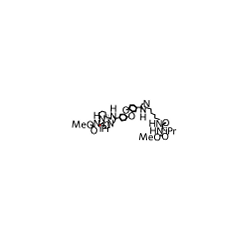 COC(=O)N[C@H](C(=O)NCCCCCC1=NCC(c2ccc3c(c2)Oc2ccc(C4CN=C([C@@H]5CCCCN5C(=O)[C@@H](NC(=O)OC)C(C)C)N4)cc2O3)N1)C(C)C